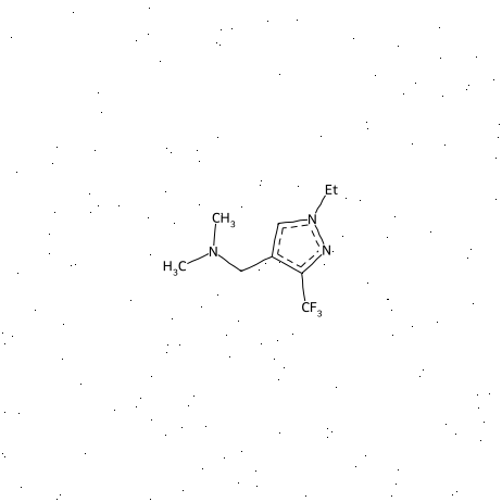 CCn1cc(CN(C)C)c(C(F)(F)F)n1